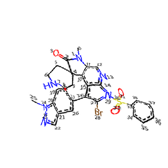 CN1C(=O)C2(CCNCC2)c2c1cnc1c2c(-c2ccc3c(cnn3C)c2)c(Br)n1S(=O)(=O)c1ccccc1